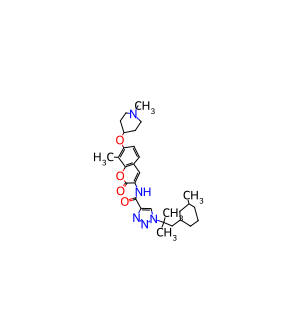 Cc1c(OC2CCN(C)CC2)ccc2cc(NC(=O)c3cn(C(C)(C)CC4CCCC(C)C4)nn3)c(=O)oc12